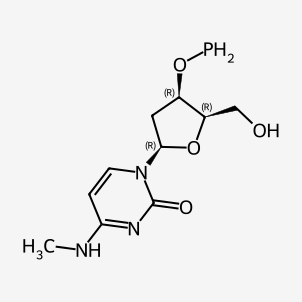 CNc1ccn([C@H]2C[C@@H](OP)[C@@H](CO)O2)c(=O)n1